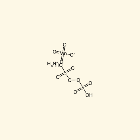 O=S(=O)(O)OOS(=O)(=O)O.[NH4+].[O]=[Mn](=[O])(=[O])[O-]